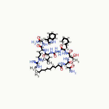 CCCCCCCCCC(=O)N[C@@H](CC(N)=O)C(=O)N[C@H](C(=O)N[C@@H](Cc1ccccc1)C(=O)NNC(=O)N[C@@H](CC(C)C)C(=O)N[C@@H](CCCNC(=N)NC)C(=O)N[C@@H](Cc1c[nH]c2ccccc12)C(N)=O)[C@@H](C)O